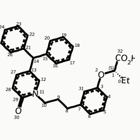 CC[C@H](Oc1cccc(CCCn2cc(C(c3ccccc3)c3ccccc3)ccc2=O)c1)C(=O)O